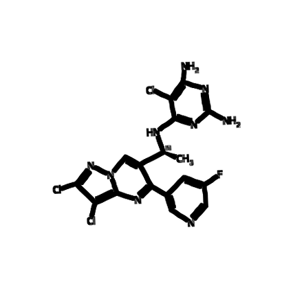 C[C@H](Nc1nc(N)nc(N)c1Cl)c1cn2nc(Cl)c(Cl)c2nc1-c1cncc(F)c1